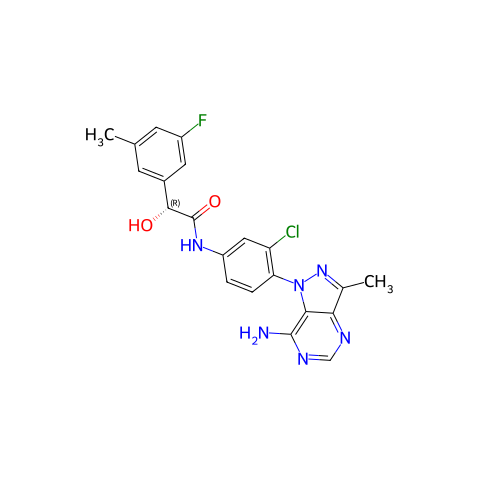 Cc1cc(F)cc([C@@H](O)C(=O)Nc2ccc(-n3nc(C)c4ncnc(N)c43)c(Cl)c2)c1